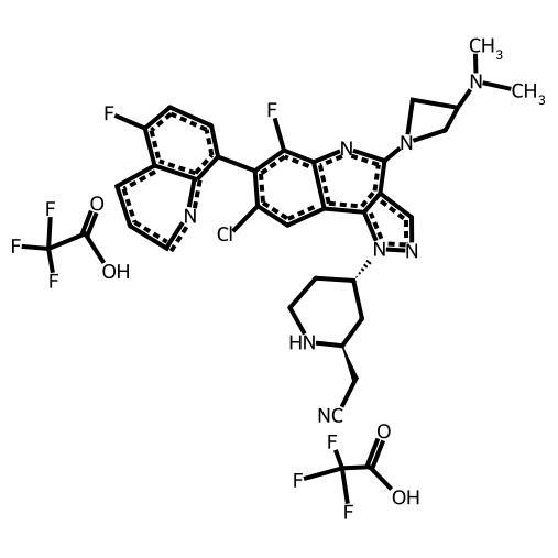 CN(C)C1CN(c2nc3c(F)c(-c4ccc(F)c5cccnc45)c(Cl)cc3c3c2cnn3[C@H]2CCN[C@H](CC#N)C2)C1.O=C(O)C(F)(F)F.O=C(O)C(F)(F)F